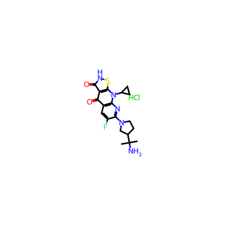 CC(C)(N)C1CCN(c2nc3c(cc2F)c(=O)c2c(=O)[nH]sc2n3C2CC2)C1.Cl